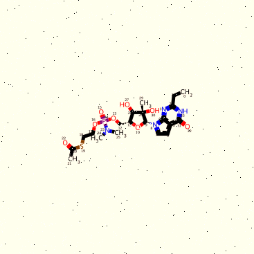 CCc1nc2c(ccn2[C@@H]2O[C@H](COP(=O)(OCCSC(C)=O)N(C)C)C(O)[C@]2(C)O)c(=O)[nH]1